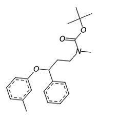 Cc1cccc(OC(CCN(C)C(=O)OC(C)(C)C)c2ccccc2)c1